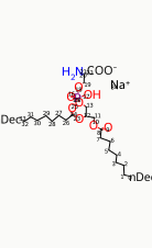 CCCCCCCCCCCCCCCCCC(=O)OC[C@H](COP(=O)(O)OC[C@H](N)C(=O)[O-])OC(=O)CCCCCCCCCCCCCCCCC.[Na+]